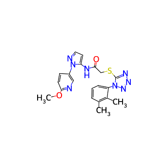 COc1ccc(-n2nccc2NC(=O)CSc2nnnn2-c2cccc(C)c2C)cn1